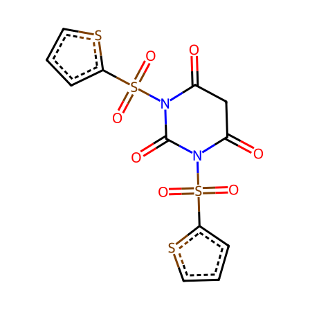 O=C1CC(=O)N(S(=O)(=O)c2cccs2)C(=O)N1S(=O)(=O)c1cccs1